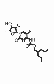 CCCC(CCC)COC(=O)Nc1nc(=O)n([C@@H]2O[C@H](C)[C@@H](O)[C@H]2O)cc1F